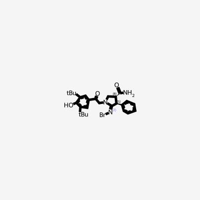 CC(C)(C)c1cc(C(=O)CN2C[C@H](C(N)=O)[C@@H](c3ccccc3)/C2=N/Br)cc(C(C)(C)C)c1O